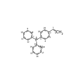 C=Cc1ccc(P(c2ccccc2)c2ccccn2)cc1